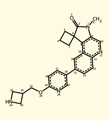 CN1C(=O)C2(CCC2)c2c1cnc1ccc(-c3ccc(OCC4CNC4)nc3)cc21